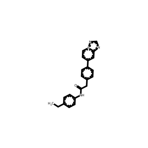 CCc1ccc(NC(=O)Cc2ccc(-c3ccn4ncnc4c3)cc2)cc1